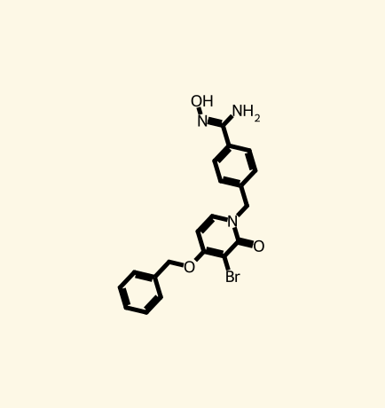 N/C(=N\O)c1ccc(Cn2ccc(OCc3ccccc3)c(Br)c2=O)cc1